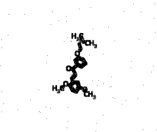 COc1ccc(OC)c(/C=C/C(=O)c2cccc(OCCN(C)C)c2)c1